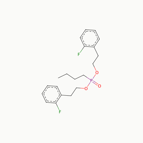 CCCCP(=O)(OCCc1ccccc1F)OCCc1ccccc1F